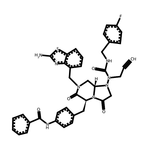 C#CCN(C(=O)NCc1ccc(F)cc1)N1CC(=O)N2[C@@H](Cc3ccc(NC(=O)c4ccccc4)cc3)C(=O)N(Cc3cccc4sc(N)nc34)C[C@@H]21